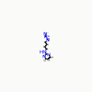 [N-]=[N+]=NCCCCNc1ncccn1